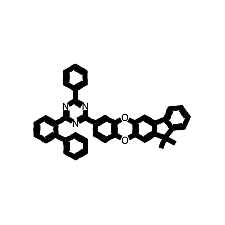 CC1(C)c2ccccc2-c2cc3c(cc21)Oc1ccc(-c2nc(-c4ccccc4)nc(-c4ccccc4-c4ccccc4)n2)cc1O3